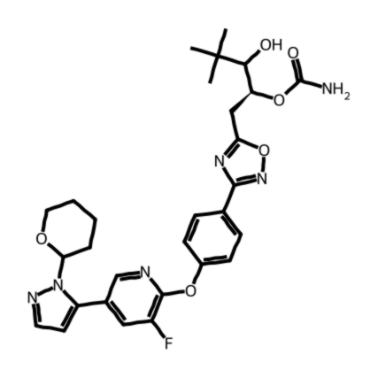 CC(C)(C)C(O)[C@H](Cc1nc(-c2ccc(Oc3ncc(-c4ccnn4C4CCCCO4)cc3F)cc2)no1)OC(N)=O